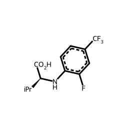 CC(C)[C@H](Nc1ccc(C(F)(F)F)cc1F)C(=O)O